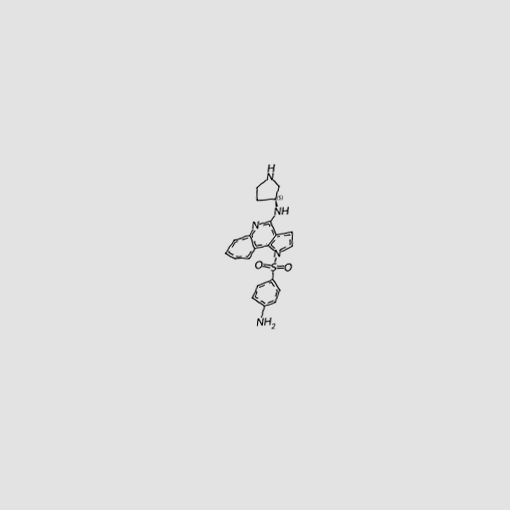 Nc1ccc(S(=O)(=O)n2ccc3c(N[C@H]4CCNC4)nc4ccccc4c32)cc1